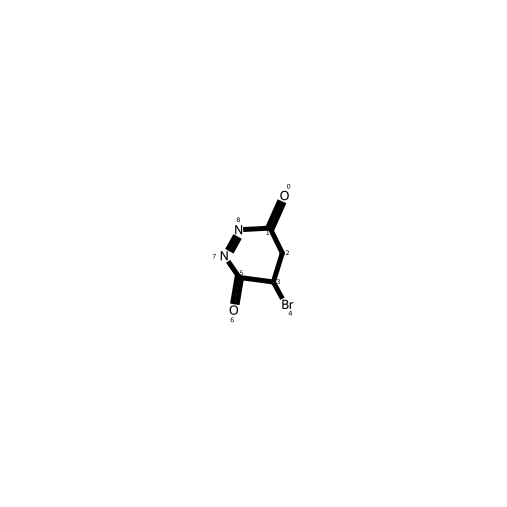 O=C1CC(Br)C(=O)N=N1